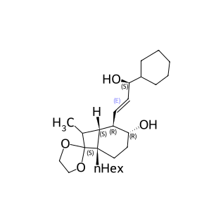 CCCCCC[C@]12CC[C@@H](O)[C@H](/C=C/[C@@H](O)C3CCCCC3)[C@H]1C(C)C21OCCO1